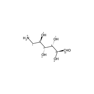 NC[C@@H](O)[C@@H](O)[C@H](O)[C@H](O)C=O